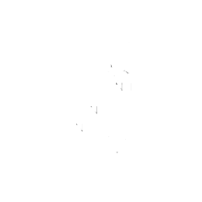 Cc1nc(C2CCOCC2)n(CCNC(=O)OC(C)(C)C)c1C